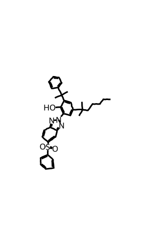 CCCCCC(C)(C)c1cc(-n2nc3ccc(S(=O)(=O)c4ccccc4)cc3n2)c(O)c(C(C)(C)c2ccccc2)c1